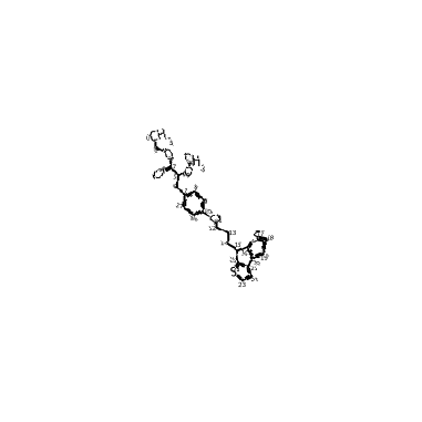 CCOC(=O)C(Cc1ccc(OCCCC2c3sccc3-c3ccsc32)cc1)OC